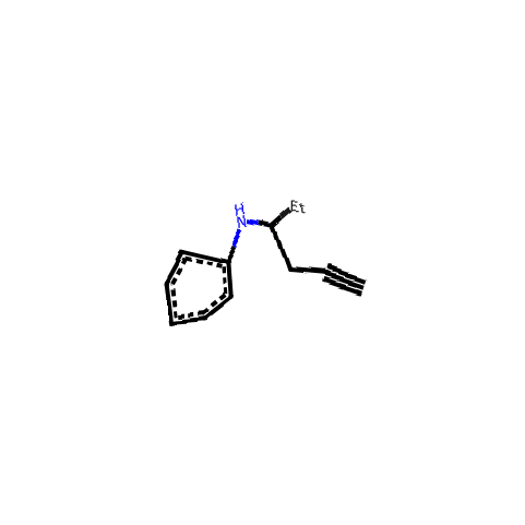 C#CCC(CC)Nc1ccccc1